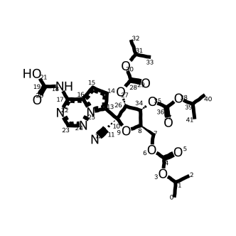 CC(C)OC(=O)OC[C@H]1O[C@@](C#N)(c2ccc3c(NC(=O)O)ncnn23)[C@H](OC(=O)OC(C)C)[C@@H]1OC(=O)OC(C)C